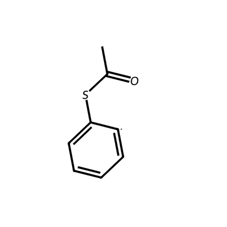 CC(=O)Sc1[c]cccc1